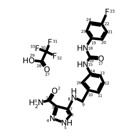 NC(=O)c1n[nH]cc1NCc1cccc(NC(=O)Nc2ccc(F)cc2)c1.O=C(O)C(F)(F)F